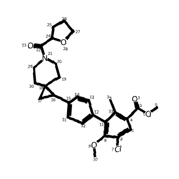 COC(=O)c1cc(Cl)c(OC)c(-c2ccc(C3CC34CCN(C(=O)C3CCCO3)CC4)cc2)c1C